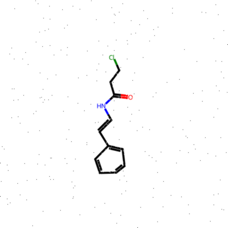 O=C(CCCl)NC=Cc1ccccc1